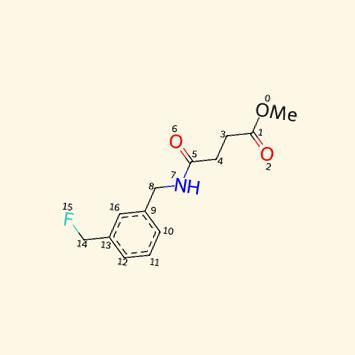 COC(=O)CCC(=O)NCc1cccc(CF)c1